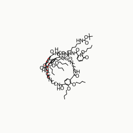 CCCCOc1c2ccc(c1OCCCC)C(=O)NCCN1CCNC(=O)c3ccc(c(OCCCC)c3OCCCC)C(=O)NCCN(CCNC2=O)CCNC(=O)c2ccc(c(OCCCC)c2OCCCC)C(=O)NCCN(CC(CCCCNC(=O)OC(C)(C)C)NC(=O)c2cccc(=O)n2OCCCC)CC1